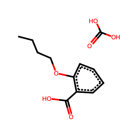 CCCCOc1ccccc1C(=O)O.O=C(O)O